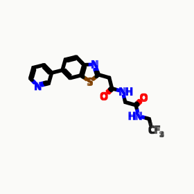 O=C(CNC(=O)Cc1nc2ccc(-c3cccnc3)cc2s1)NCC(F)(F)F